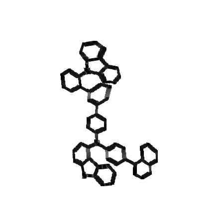 c1cc(-c2ccc(N(c3ccc(-c4cccc5ccccc45)cc3)c3cccc4sc5ccccc5c34)cc2)cc(-c2ccccc2-n2c3ccccc3c3ccccc32)c1